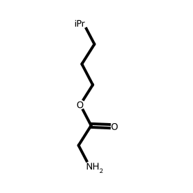 CC(C)CCCOC(=O)CN